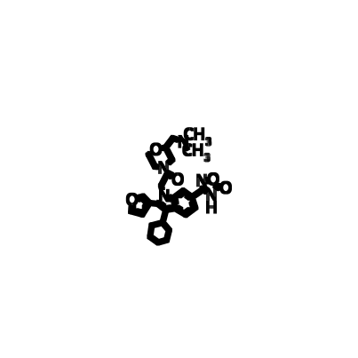 CN(C)CC1CN(C(=O)Cn2c(-c3ccoc3)c(C3CCCCC3)c3ccc(-c4noc(=O)[nH]4)cc32)CCO1